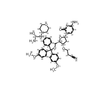 COc1ccc(C(OC[C@H]2O[C@@H](n3ccc(N)nc3=O)C[C@@H]2OCCC#N)(c2ccccc2)c2ccc(OC)cc2)cc1.NP(O)NN1CCOCC1